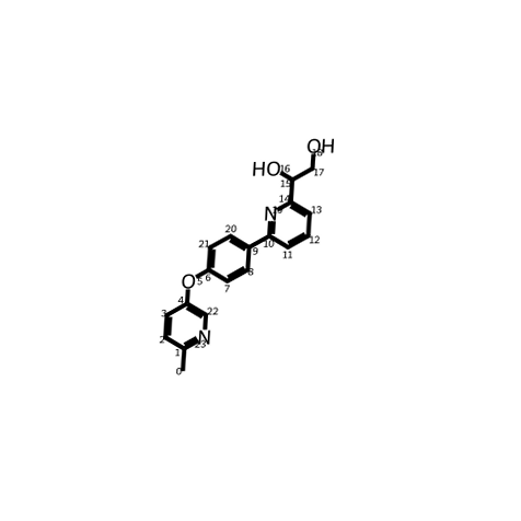 Cc1ccc(Oc2ccc(-c3cccc(C(O)CO)n3)cc2)cn1